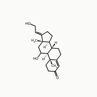 C[C@]12CCC(=O)C=C1CC[C@@H]1[C@@H]2C(O)C[C@]2(C)C(=CCO)CC[C@@H]12